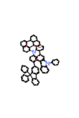 c1ccc(-c2cccc3cccc(-c4ccccc4N(c4ccc(-c5ccc6c(c5)C(c5ccccc5)(c5ccccc5)c5ccccc5-6)cc4)c4ccccc4-c4ccc5c6ccccc6n(-c6ccccc6)c5c4)c23)cc1